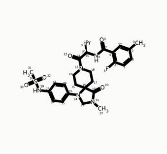 Cc1ccc(F)c(C(=O)N[C@@H](C(=O)N2CCC3(CC2)C(=O)N(C)CN3c2ccc(NS(C)(=O)=O)cc2)C(C)C)c1